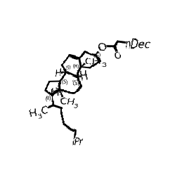 CCCCCCCCCCCC(=O)O[C@H]1CC[C@@]2(C)C(=CC[C@H]3[C@@H]4CC[C@H](C(C)CCCC(C)C)[C@@]4(C)CC[C@@H]32)C1